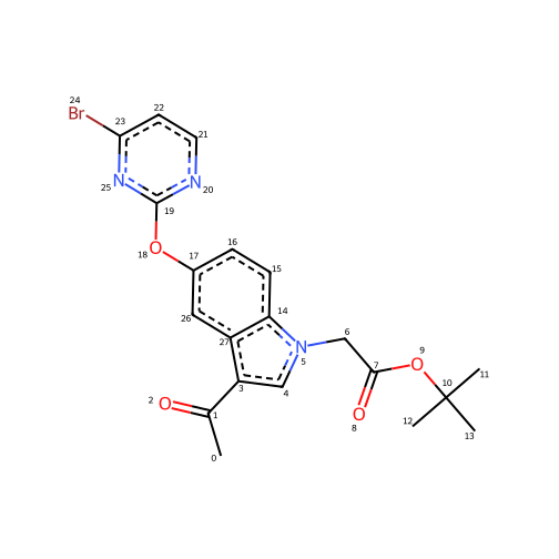 CC(=O)c1cn(CC(=O)OC(C)(C)C)c2ccc(Oc3nccc(Br)n3)cc12